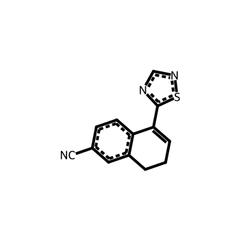 N#Cc1ccc2c(c1)CCC=C2c1ncns1